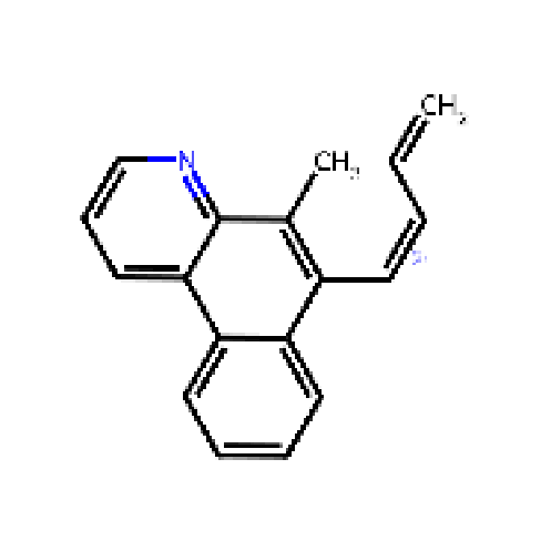 C=C/C=C\c1c(C)c2ncccc2c2ccccc12